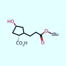 CC(C)(C)OC(=O)CCC1C[C@H](O)C[C@H]1C(=O)O